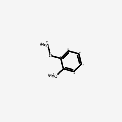 CNOc1ccccc1OC